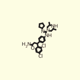 CC1CN(/C(=N\C2CCCC2)Nc2ccc(C(CC(N)=O)c3ccc(Cl)cc3Cl)cc2)CC(C)N1